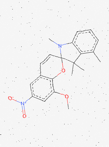 COc1cc([N+](=O)[O-])cc2c1OC1(C=C2)N(C)c2cccc(C)c2C1(C)C